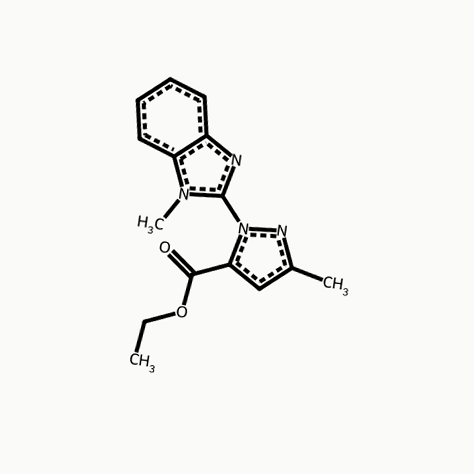 CCOC(=O)c1cc(C)nn1-c1nc2ccccc2n1C